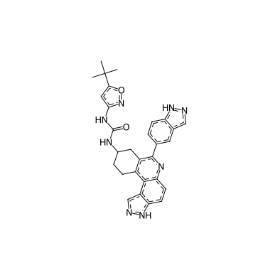 CC(C)(C)c1cc(NC(=O)NC2CCc3c(c(-c4ccc5[nH]ncc5c4)nc4ccc5[nH]ncc5c34)C2)no1